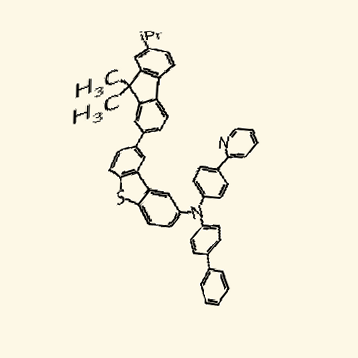 CC(C)c1ccc2c(c1)C(C)(C)c1cc(-c3ccc4sc5ccc(N(c6ccc(-c7ccccc7)cc6)c6ccc(-c7ccccn7)cc6)cc5c4c3)ccc1-2